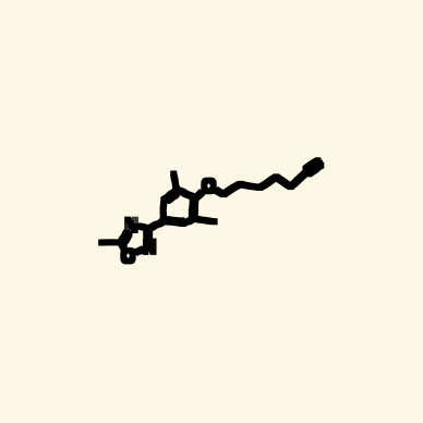 C#CCCCCCOc1c(C)cc(-c2noc(C)n2)cc1C